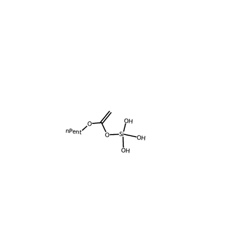 C=C(OCCCCC)O[Si](O)(O)O